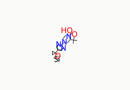 CC(C)(C)C1CN(c2ncc(C3(O[Si](C)(C)C)CC3)cn2)CCN1C(=O)O